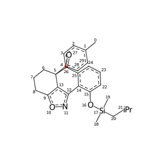 Cc1ccc(C23CCCc4onc(c42)-c2c(O[Si](C)(C)CC(C)C)cccc2C3=O)cc1